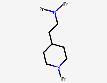 CC(C)N1CCC(CCN(C(C)C)C(C)C)CC1